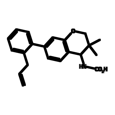 C=CCc1ccccc1-c1ccc2c(c1)OCC(C)(C)C2NC(=O)O